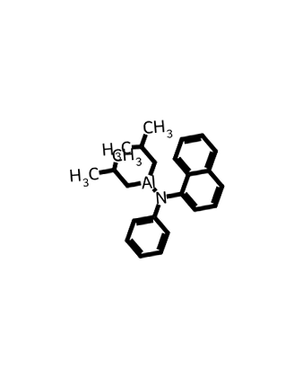 CC(C)[CH2][Al]([CH2]C(C)C)[N](c1ccccc1)c1cccc2ccccc12